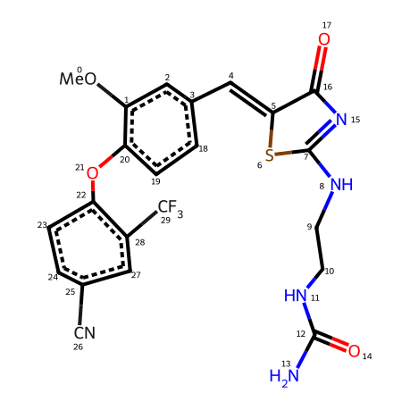 COc1cc(/C=C2\SC(NCCNC(N)=O)=NC2=O)ccc1Oc1ccc(C#N)cc1C(F)(F)F